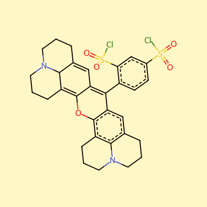 O=S(=O)(Cl)c1ccc(C2=C3C=C4CCCN5CCCC(=C3Oc3c2cc2c6c3CCCN6CCC2)C45)c(S(=O)(=O)Cl)c1